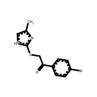 Cc1c[nH]c(SCC(=O)c2ccc(Br)cc2)n1